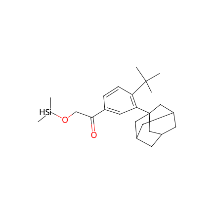 C[SiH](C)OCC(=O)c1ccc(C(C)(C)C)c(C23CC4CC(CC(C4)C2)C3)c1